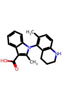 Cc1ccc2c(c1-n1c(C)c(C(=O)O)c3ccccc31)CCCN2